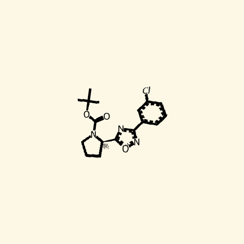 CC(C)(C)OC(=O)N1CCC[C@@H]1c1nc(-c2cccc(Cl)c2)no1